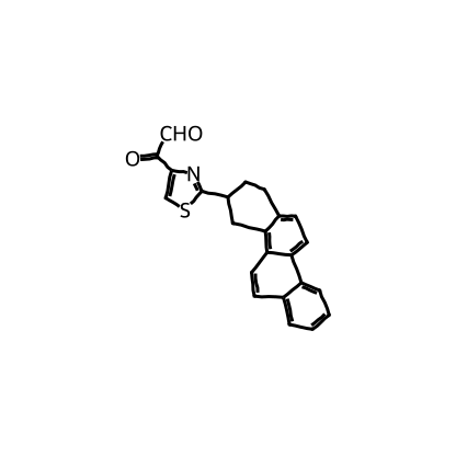 O=CC(=O)c1csc(C2CCc3ccc4c(ccc5ccccc54)c3C2)n1